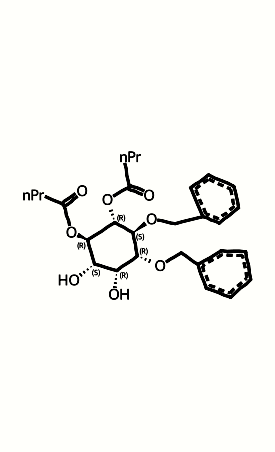 CCCC(=O)O[C@@H]1[C@@H](OCc2ccccc2)[C@H](OCc2ccccc2)[C@H](O)[C@H](O)[C@H]1OC(=O)CCC